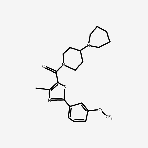 Cc1nc(-c2cccc(OC(F)(F)F)c2)sc1C(=O)N1CCC(N2CCCCC2)CC1